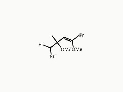 CCC(CC)C(C)(/C=C(\OC)C(C)C)OC